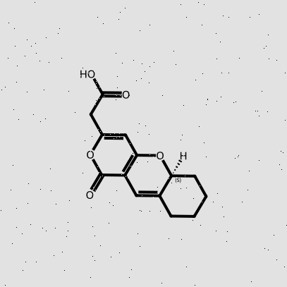 O=C(O)Cc1cc2c(c(=O)o1)C=C1CCCC[C@@H]1O2